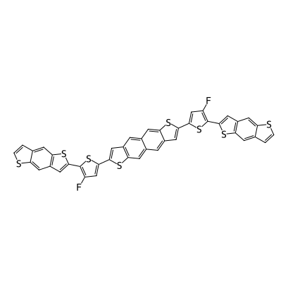 Fc1cc(-c2cc3cc4cc5sc(-c6cc(F)c(-c7cc8cc9sccc9cc8s7)s6)cc5cc4cc3s2)sc1-c1cc2cc3sccc3cc2s1